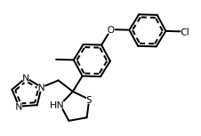 Cc1cc(Oc2ccc(Cl)cc2)ccc1C1(Cn2cncn2)NCCS1